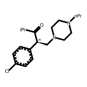 CCCN1CCN(C[C@H](C(=O)C(C)C)c2ccc(Cl)cc2)CC1